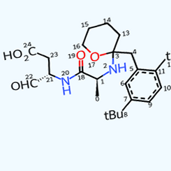 C[C@H](NC1(Cc2cc(C(C)(C)C)ccc2C(C)(C)C)CCCCO1)C(=O)N[C@H](C=O)CC(=O)O